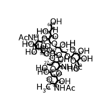 CO[C@H](OC[C@H](O)C(CO[C@H]1OC(CO)[C@@H](O)C(O)C1O)O[C@H](CO)O[C@@H]1C(CO)O[C@@H](O[C@@H]2C(CO)O[C@@H](C)C(NC(C)=O)C2O)C(NC(C)=O)C1O)C(O[C@@H]1OC(CO)[C@@H](O)C(O)C1NC(C)=O)C(O)[C@H](O)CCO